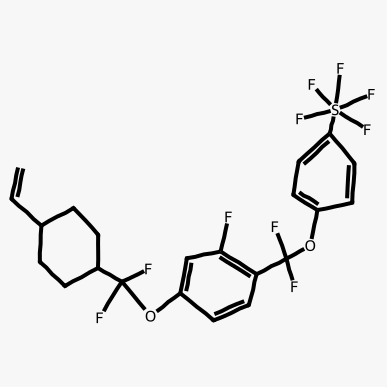 C=CC1CCC(C(F)(F)Oc2ccc(C(F)(F)Oc3ccc(S(F)(F)(F)(F)F)cc3)c(F)c2)CC1